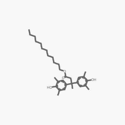 CCCCCCCCCCCCOC(=O)CC(C)(c1cc(C)c(O)c(C)c1)c1cc(C)c(O)c(C)c1